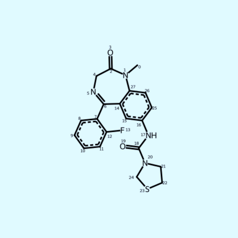 CN1C(=O)CN=C(c2ccccc2F)c2cc(NC(=O)N3CCSC3)ccc21